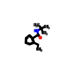 CCc1ccccc1C(=O)NC(C)(C)C